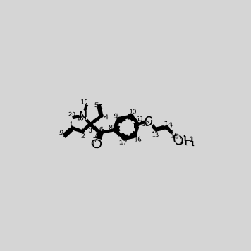 C=CCC(CC)(C(=O)c1ccc(OCCO)cc1)N(C)C